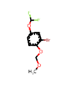 COCOc1ccc(OC(F)F)[c]c1Br